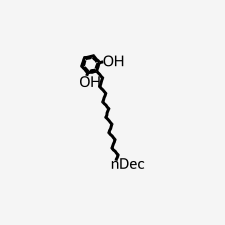 CCCCCCCCCCCCCCCCCCCCCc1c(O)cccc1O